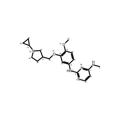 CNc1ccnc(Nc2ccc(OC)c(OCC3CCN(C4CC4)C3)c2)n1